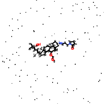 COCO[C@@H]1C[C@H]2C[C@@H](NCCCN3CCCC3=O)CC[C@]2(C)C2CC[C@@]3(C)C(CC[C@@H]3[C@H](C)CC[C@@H](O)C(C)C)C21